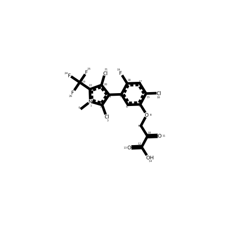 Cn1c(Cl)c(-c2cc(OCC(=O)C(=O)O)c(Cl)cc2F)c(Cl)c1C(F)(F)F